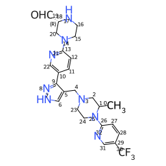 CC1CN(Cc2c[nH]nc2-c2ccc(N3CCN[C@@H](C=O)C3)nc2)CCN1c1ccc(C(F)(F)F)cn1